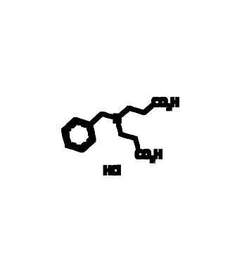 Cl.O=C(O)CCN(CCC(=O)O)Cc1ccccc1